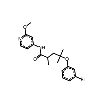 COc1cc(NC(=O)C(C)CC(C)(C)Oc2cccc(Br)c2)ccn1